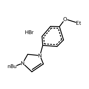 Br.CCCCN1C=CN(c2ccc(OCC)cc2)C1